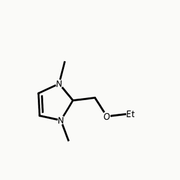 CCOCC1N(C)C=CN1C